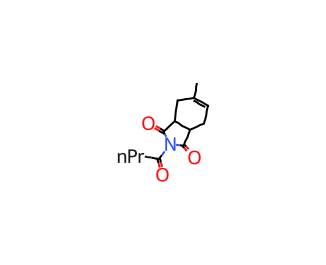 CCCC(=O)N1C(=O)C2CC=C(C)CC2C1=O